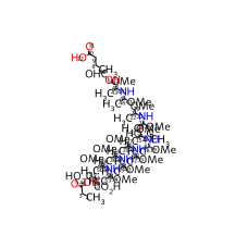 CC(=O)O.CCC(=O)O.CCCC(=O)O.COC(C)NC(C)OC.COC(C)NC(C)OC.COC(C)NC(C)OC.COC(C)NC(C)OC.COC(C)NC(C)OC.COC(C)NC(C)OC.O=C(O)CC(=O)O.O=CO